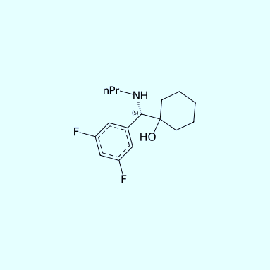 [CH2]CCN[C@@H](c1cc(F)cc(F)c1)C1(O)CCCCC1